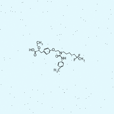 CCOC(Cc1ccc(OCCN(CCCCCC(C)(F)F)C(=O)Nc2ccc(C)cc2)cc1)C(=O)O